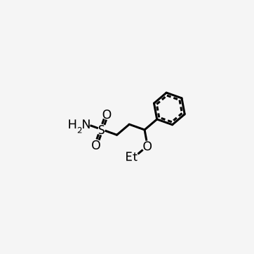 CCOC(CCS(N)(=O)=O)c1ccccc1